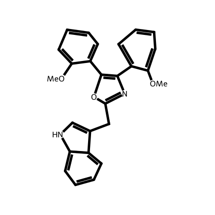 COc1ccccc1-c1nc(Cc2c[nH]c3ccccc23)oc1-c1ccccc1OC